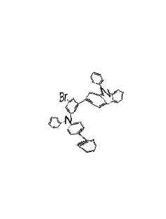 Brc1cc(-c2ccc3c4ccccc4n(-c4ccccc4)c3c2)cc(N(c2ccccc2)c2ccc(-c3ccccc3)cc2)c1